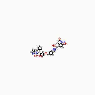 O=C(O)N(C(c1ccccc1)c1cccc(OCc2ccc(CNC[C@H](O)c3ccc(O)c4[nH]c(=O)ccc34)cc2)c1)[C@H]1CN2CCC1CC2